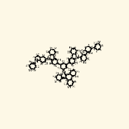 c1ccc(-c2ccc3oc4c(-n5c6ccccc6c6cc(-c7cc(-c8ccc9c(c8)c8ccccc8n9-c8ccc9c(ccn9-c9ccccc9)c8)cc(-n8c9ccccc9c9c%10ccccc%10c%10ccccc%10c98)c7)ccc65)cccc4c3c2)cc1